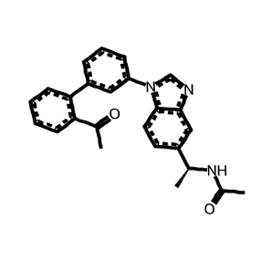 CC(=O)N[C@@H](C)c1ccc2c(c1)ncn2-c1cccc(-c2ccccc2C(C)=O)c1